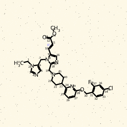 CCn1cncc1Cn1c(/C=C/C(=O)OC)cnc1CN1CCC(c2cccc(OCc3ccc(Cl)cc3F)n2)CC1